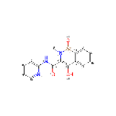 CN1C(C(=O)Nc2ccccn2)=C(O)c2ccccc2[S+]1[O-]